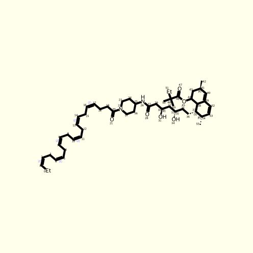 CC/C=C\C/C=C\C/C=C\C/C=C\C/C=C\C/C=C\CCC(=O)N1CCC(NC(=O)C[C@H](O)C[C@@H](O)CC[C@@H]2C3C(=C[C@H](C)CC3OC(=O)C(C)(C)CC)C=C[C@@H]2C)CC1